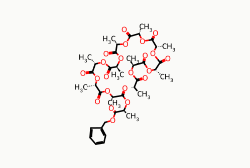 C[CH]C(=O)O[C@@H](C)C(=O)O[C@@H](C)C(=O)O[C@@H](C)C(=O)O[C@@H](C)C(=O)O[C@@H](C)C(=O)O[C@@H](C)C(=O)O[C@@H](C)C(=O)O[C@@H](C)C(=O)O[C@@H](C)C(=O)O[C@@H](C)C(=O)OCc1ccccc1